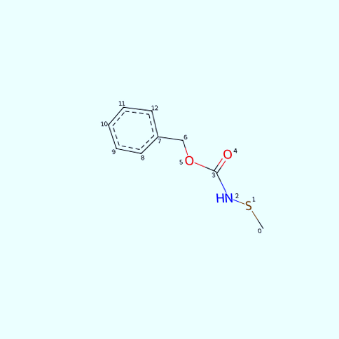 CSNC(=O)OCc1ccccc1